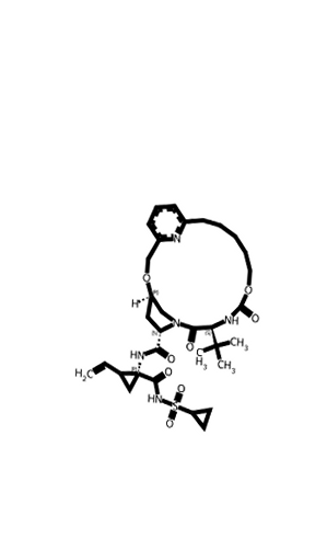 C=CC1C[C@]1(NC(=O)[C@@H]1C[C@@H]2CN1C(=O)[C@H](C(C)(C)C)NC(=O)OCCCCCc1cccc(n1)CO2)C(=O)NS(=O)(=O)C1CC1